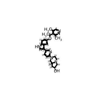 Cc1cnnc(C)c1[C@@H](C)Oc1ccc2[nH]nc(-c3ccc(N4CCN5C[C@H](O)C[C@H]5C4)nc3)c2c1